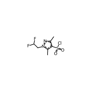 Cc1nn(CC(F)F)c(C)c1S(=O)(=O)Cl